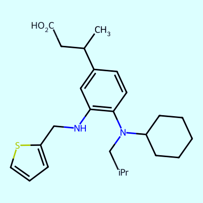 CC(C)CN(c1ccc(C(C)CC(=O)O)cc1NCc1cccs1)C1CCCCC1